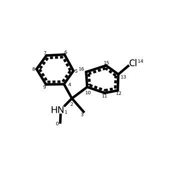 CNC(C)(c1ccccc1)c1ccc(Cl)cc1